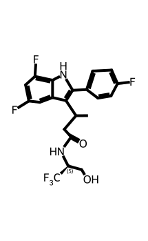 CC(CC(=O)N[C@@H](CO)C(F)(F)F)c1c(-c2ccc(F)cc2)[nH]c2c(F)cc(F)cc12